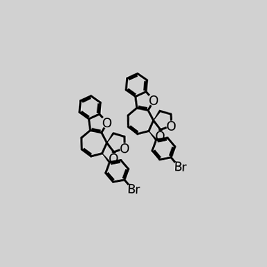 O=C1OCC[C@@]12c1oc3ccccc3c1CC=C[C@@H]2c1ccc(Br)cc1.O=C1OCC[C@@]12c1oc3ccccc3c1CC=C[C@@H]2c1ccc(Br)cc1